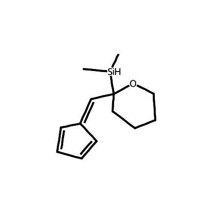 C[SiH](C)C1(C=C2C=CC=C2)CCCCO1